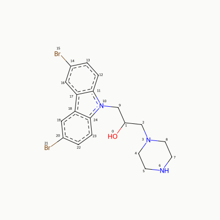 OC(CN1CCNCC1)Cn1c2ccc(Br)cc2c2cc(Br)ccc21